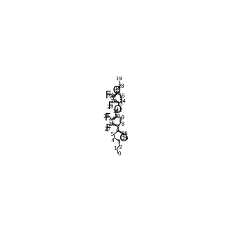 CCCC1CCC(c2ccc(COc3ccc(OCC)c(F)c3F)c(F)c2F)=CO1